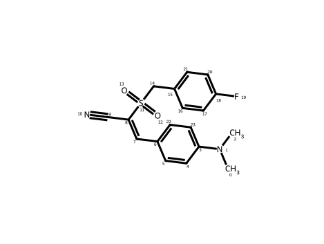 CN(C)c1ccc(C=C(C#N)S(=O)(=O)Cc2ccc(F)cc2)cc1